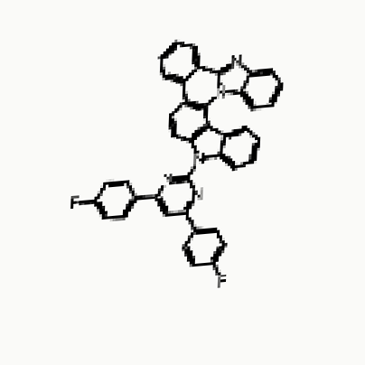 Fc1ccc(-c2cc(-c3ccc(F)cc3)nc(-n3c4ccccc4c4c3ccc3c5ccccc5c5nc6ccccc6n5c34)n2)cc1